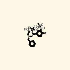 CC[Si](CC)(CC)O[C@@H](CN(CCO)Cc1ccccc1)c1ccc(F)c(NS(C)(=O)=O)c1